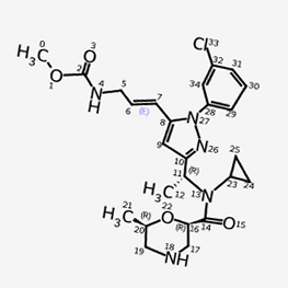 COC(=O)NC/C=C/c1cc([C@@H](C)N(C(=O)[C@H]2CNC[C@@H](C)O2)C2CC2)nn1-c1cccc(Cl)c1